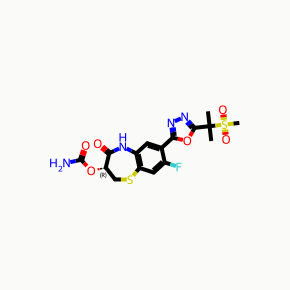 CC(C)(c1nnc(-c2cc3c(cc2F)SC[C@H](OC(N)=O)C(=O)N3)o1)S(C)(=O)=O